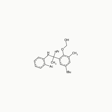 CCCC(C)(Pc1ccccc1C(C)=O)c1cc(C(C)(C)C)cc(C)c1OCO